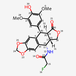 COc1cc([C@@H]2c3cc4c(cc3[C@@H](NC(=O)CF)[C@H]3COC(=O)[C@H]23)OCO4)cc(OC)c1O